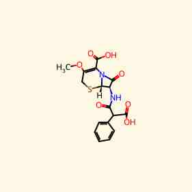 COC1=C(C(=O)O)N2C(=O)[C@@H](NC(=O)C(C(=O)O)c3ccccc3)[C@@H]2SC1